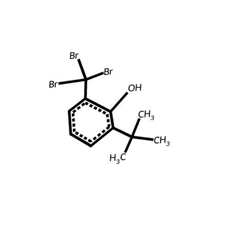 CC(C)(C)c1cccc(C(Br)(Br)Br)c1O